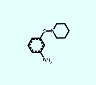 Nc1cccc(SN2CCCCC2)c1